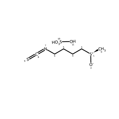 C[S@@+]([O-])CCCCN=C=S.O=S(=O)(O)O